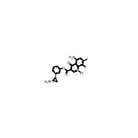 CCn1cc(C(=O)Oc2cccc([C@H]3C[C@@H]3N)c2)c(=O)c2c(N)cc(F)c(F)c21